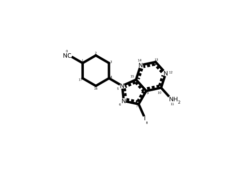 N#CC1CCC(n2nc(I)c3c(N)ncnc32)CC1